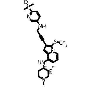 CN1CC[C@@H](Nc2cccn3c(SC(F)(F)F)c(C#CCNc4ccc(P(C)(C)=O)nc4)cc23)[C@@H](F)C1